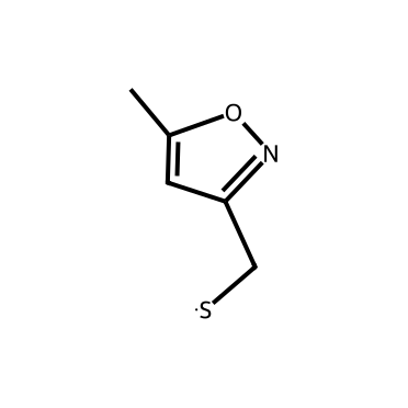 Cc1cc(C[S])no1